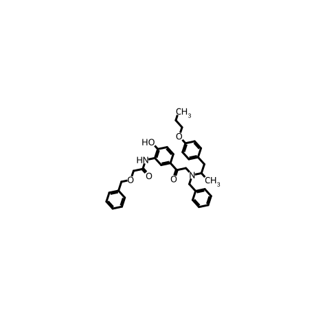 CCCOc1ccc(CC(C)N(CC(=O)c2ccc(O)c(NC(=O)COCc3ccccc3)c2)Cc2ccccc2)cc1